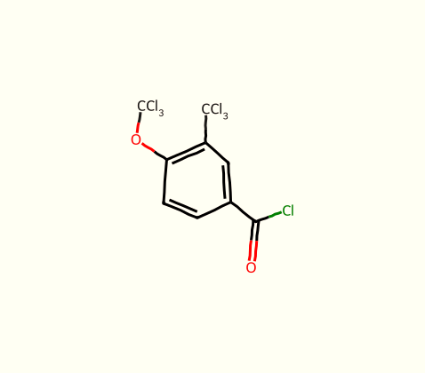 O=C(Cl)c1ccc(OC(Cl)(Cl)Cl)c(C(Cl)(Cl)Cl)c1